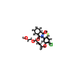 COCCOCC#CC(C)Oc1cc(N2C(=O)C3CCCCC3C2=O)c(F)cc1Cl